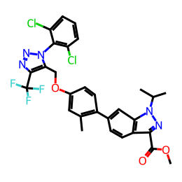 COC(=O)c1nn(C(C)C)c2cc(-c3ccc(OCc4c(C(F)(F)F)nnn4-c4c(Cl)cccc4Cl)cc3C)ccc12